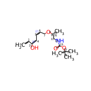 C=C/C(O)=C\C=C/CO[C@@H](C)CNC(=O)OC(C)(C)C